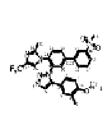 Cc1cc(-c2cnnn2-c2cc(-c3cccc(S(C)(=O)=O)c3)ccc2-n2cc(C(F)(F)F)nc2C)ccc1OC(F)(F)F